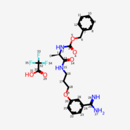 C[C@@H](NC(=O)OCc1ccccc1)C(=O)NCCCOc1cccc(C(=N)N)c1.O=C(O)C(F)(F)F